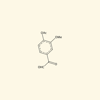 COc1cc(C(=O)C=O)ccc1OC(C)=O